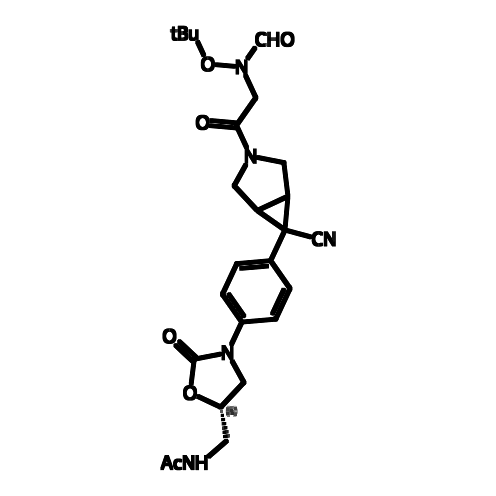 CC(=O)NC[C@H]1CN(c2ccc(C3(C#N)C4CN(C(=O)CN(C=O)OC(C)(C)C)CC43)cc2)C(=O)O1